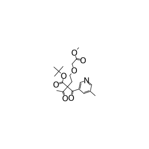 COC(=O)COCCC(C(C)=O)(C(=O)OC(C)(C)C)C(=O)c1cncc(C)c1